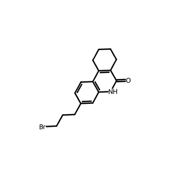 O=c1[nH]c2cc(CCCBr)ccc2c2c1CCCC2